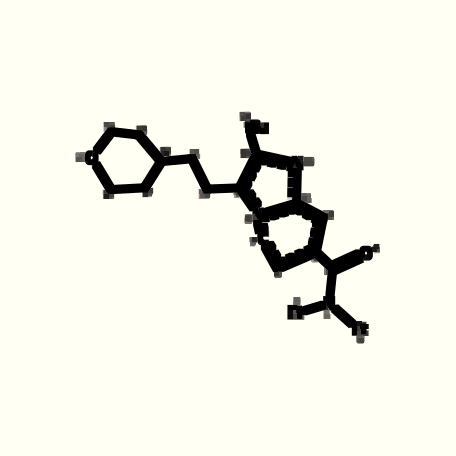 CCN(CC)C(=O)c1ccn2c(CCC3CCOCC3)c(C(C)(C)C)nc2c1